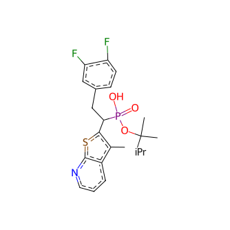 Cc1c(C(Cc2ccc(F)c(F)c2)P(=O)(O)OC(C)(C)C(C)C)sc2ncccc12